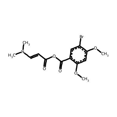 COc1cc(OC)c(C(=O)OC(=O)C=CN(C)C)cc1Br